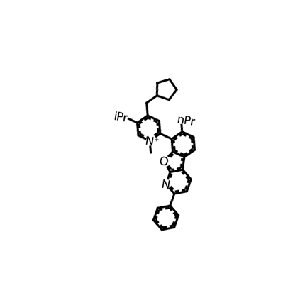 CCCc1ccc2c(oc3nc(-c4ccccc4)ccc32)c1-c1cc(CC2CCCC2)c(C(C)C)c[n+]1C